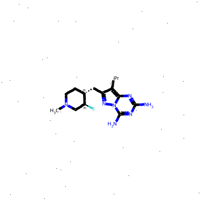 CC(C)c1c(C[C@H]2CCN(C)C[C@@H]2F)nn2c(N)nc(N)nc12